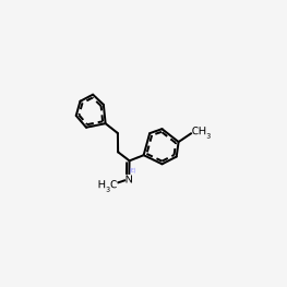 C/N=C(\CCc1ccccc1)c1ccc(C)cc1